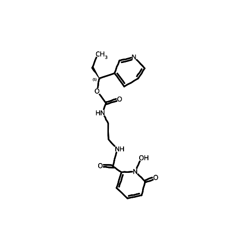 CC[C@H](OC(=O)NCCNC(=O)c1cccc(=O)n1O)c1cccnc1